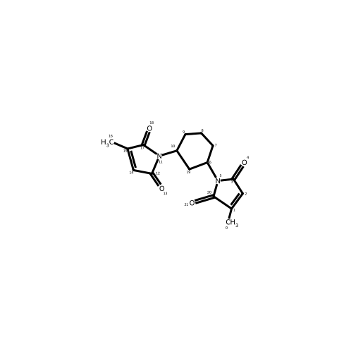 CC1=CC(=O)N(C2CCCC(N3C(=O)C=C(C)C3=O)C2)C1=O